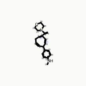 C=C(C1=C/CC#CC(c2ccc(NC)cc2)/C=C\1)N1CCOCC1